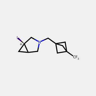 FC(F)(F)C12CC(CN3CC4C[C@]4(I)C3)(C1)C2